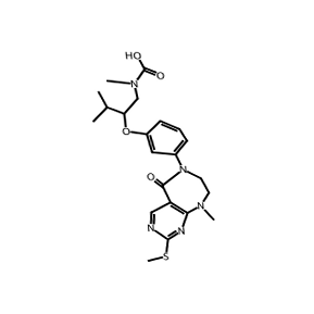 CSc1ncc2c(n1)N(C)CCN(c1cccc(OC(CN(C)C(=O)O)C(C)C)c1)C2=O